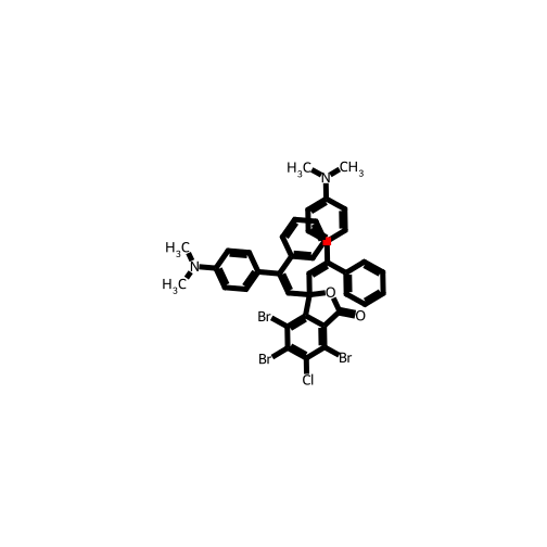 CN(C)c1ccc(/C(=C/C2(/C=C(\c3ccccc3)c3ccc(N(C)C)cc3)OC(=O)c3c(Br)c(Cl)c(Br)c(Br)c32)c2ccccc2)cc1